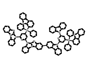 c1ccc([Si](c2ccccc2)(c2cc(-n3c4ccccc4c4ccccc43)nc(-n3c4ccccc4c4cc(-c5ccc6c(c5)nc5n(-c7cc([Si](c8ccccc8)(c8ccccc8)c8cccc9c8sc8ccccc89)cc(-n8c9ccccc9n9c%10ccccc%10nc89)n7)c7ccccc7n65)ccc43)c2)c2cccc3c2sc2ccccc23)cc1